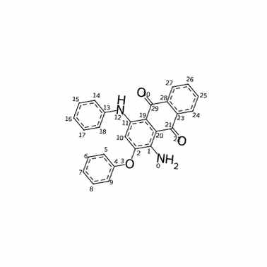 Nc1c(Oc2ccccc2)cc(Nc2ccccc2)c2c1C(=O)c1ccccc1C2=O